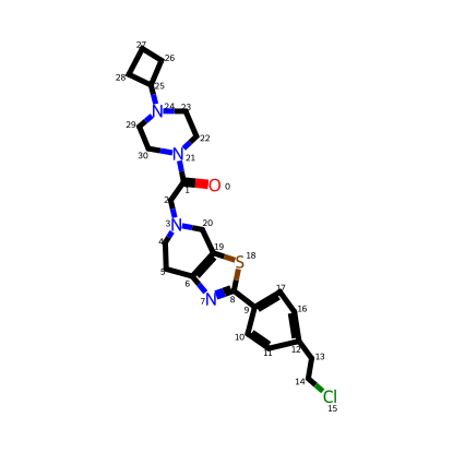 O=C(CN1CCc2nc(-c3ccc(CCCl)cc3)sc2C1)N1CCN(C2CCC2)CC1